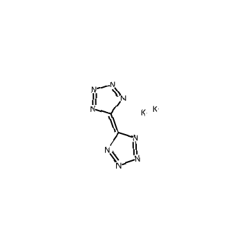 N1=NC(=C2N=NN=N2)N=N1.[K].[K]